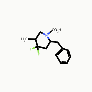 CC1CN(C(=O)O)C(Cc2ccccc2)CC1(F)F